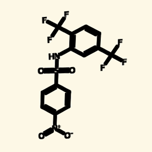 O=[N+]([O-])c1ccc(S(=O)(=O)Nc2cc(C(F)(F)F)ccc2C(F)(F)F)cc1